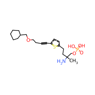 CC(N)(CCc1ccc(C#CCCOCC2CCCCC2)s1)COP(=O)(O)O